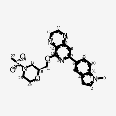 Cn1ccc2cc(-c3cc4nccnc4c(OC[C@@H]4CN(S(C)(=O)=O)CCO4)n3)ccc21